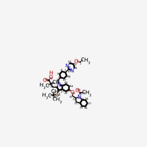 CCOc1cnc(-c2ccc(Cn3c(CC(C)(C)C(=O)O)c(SC(C)(C)C)c4cc(OCC5Cc6ccccc6N5C(C)=O)ccc43)cc2)nc1